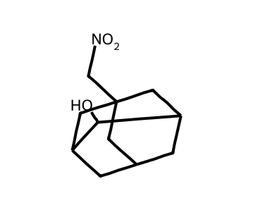 O=[N+]([O-])CC12CC3CC(C1)C(O)C(C3)C2